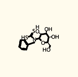 OC[C@H]1OC(N(Cc2ccccc2)C(=S)S)[C@H](O)[C@@H](O)[C@@H]1O